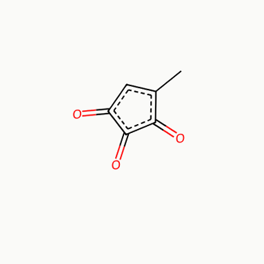 Cc1cc(=O)c(=O)c1=O